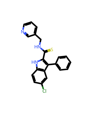 S=C(NCc1cccnc1)c1[nH]c2ccc(Cl)cc2c1-c1ccccc1